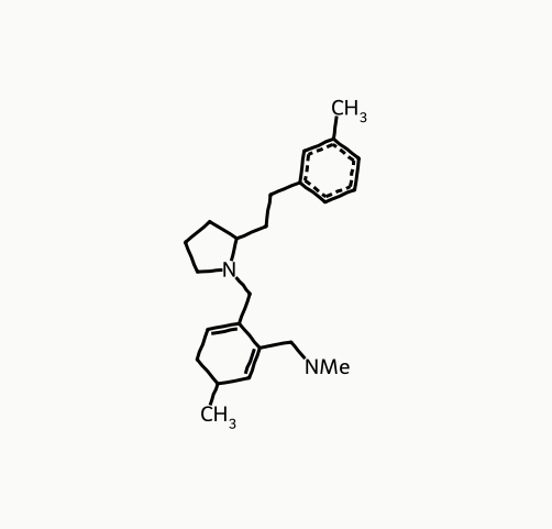 CNCC1=CC(C)CC=C1CN1CCCC1CCc1cccc(C)c1